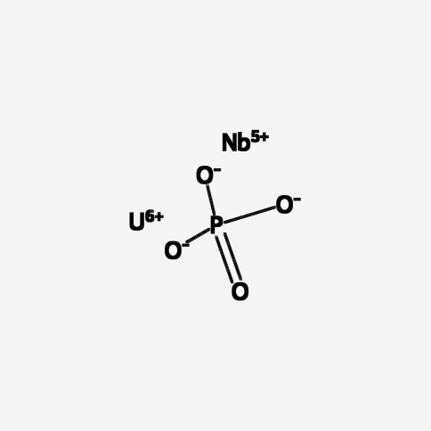 O=P([O-])([O-])[O-].[Nb+5].[U+6]